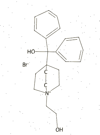 OCC[N+]12CCC(C(O)(c3ccccc3)c3ccccc3)(CC1)CC2.[Br-]